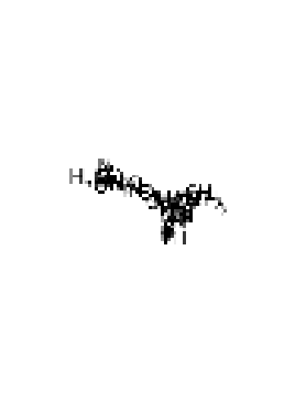 CC(C)N(C)[C@@H]1CC[C@H](N2CC[C@H](Nc3ncnc4ccc(C(F)(F)F)cc34)C2=O)[C@H](NC(=O)CCOCCNC(=O)CCOCCNC(=O)COCCNC(=O)[C@H]2CC(=O)N(C)[C@@H]2c2cccnc2)C1